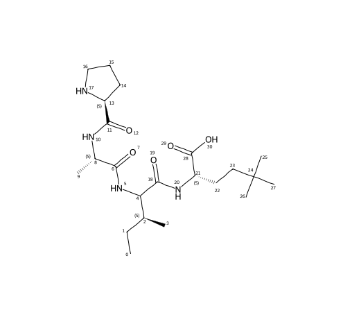 CC[C@H](C)C(NC(=O)[C@H](C)NC(=O)[C@@H]1CCCN1)C(=O)N[C@@H](CCC(C)(C)C)C(=O)O